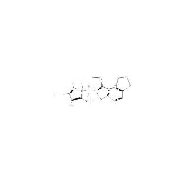 CC1=C(C)[C](C)([Hf]([CH3])([CH3])[C]2=C(CC(C)(C)C)c3c(ccc4c3CCC4)C2)C(C)=C1C